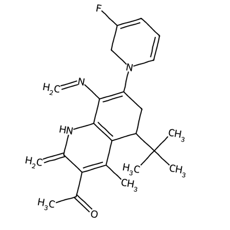 C=NC1=C(N2C=CC=C(F)C2)CC(C(C)(C)C)C2=C1NC(=C)C(C(C)=O)=C2C